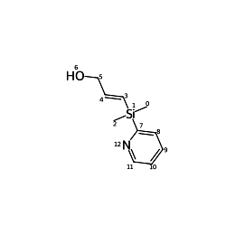 C[Si](C)(/C=C/CO)c1ccccn1